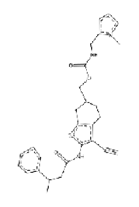 C#Cc1c(NC(=O)CC(C)c2ccccc2)sc2c1CCC(COC(=O)NCc1cccn1C)C2